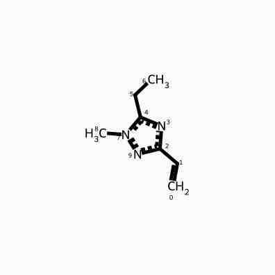 C=Cc1nc(CC)n(C)n1